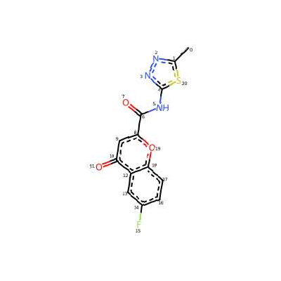 Cc1nnc(NC(=O)c2cc(=O)c3cc(F)ccc3o2)s1